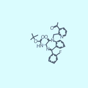 CC(=O)c1cccnc1CN1C(=O)[C@@H](NC(=O)OC(C)(C)C)N=C(c2ccccc2F)c2ccccc21